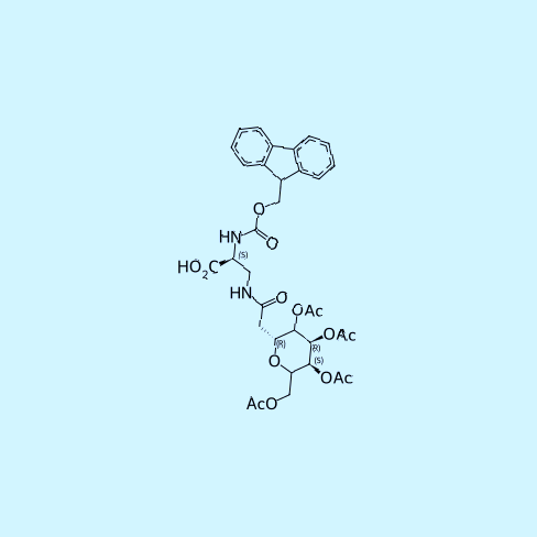 CC(=O)OCC1O[C@H](CC(=O)NC[C@H](NC(=O)OCC2c3ccccc3-c3ccccc32)C(=O)O)C(OC(C)=O)[C@@H](OC(C)=O)[C@H]1OC(C)=O